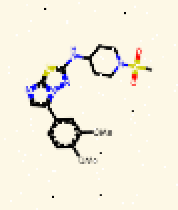 COc1ccc(-c2cnc3sc(NC4CCN(S(C)(=O)=O)CC4)nn23)cc1OC